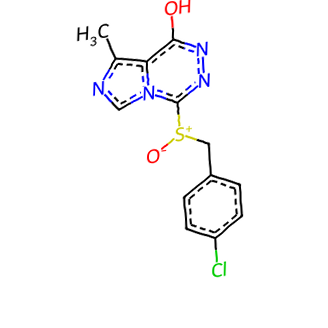 Cc1ncn2c([S+]([O-])Cc3ccc(Cl)cc3)nnc(O)c12